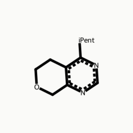 CCCC(C)c1ncnc2c1CCOC2